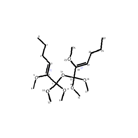 CCC/C=C(\OC)C(OC)(OC)OC(OC)(OC)/C(=C/CCC)OC